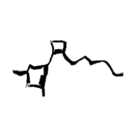 CCCCCCC1=C(c2cc(C)nc(C)c2)SC1